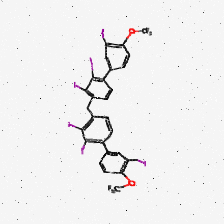 FC(F)(F)Oc1ccc(-c2ccc(Cc3ccc(-c4ccc(OC(F)(F)F)c(I)c4)c(I)c3I)c(I)c2I)cc1I